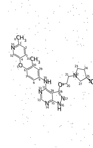 Cc1ccc(Oc2ccc(Nc3ncnc4[nH]nc(OCCN5CC[C@@H](O)C5)c34)cc2C)cn1